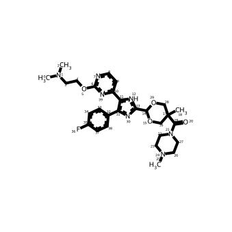 CN(C)CCOc1nccc(-c2[nH]c(C3OCC(C)(C(=O)N4CCN(C)CC4)CO3)nc2-c2ccc(F)cc2)n1